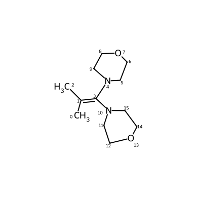 CC(C)=C(N1CCOCC1)N1CCOCC1